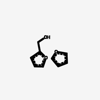 OCc1ccco1.c1ccoc1